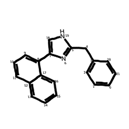 c1ccc(Cc2nc(-c3cccc4ccccc34)c[nH]2)cc1